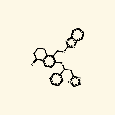 O=C1CCCc2c1ccc(O[C@@H](Cc1ncc[nH]1)c1ccccc1)c2CSc1nc2ccccc2s1